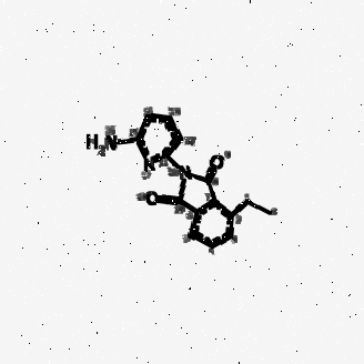 CCc1cccc2c1C(=O)N(c1cccc(N)n1)C2=O